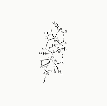 C[C@]12CC[C@@H](I)C[C@H]1CC[C@@H]1[C@@H]2CC[C@]2(C)C(=O)CC[C@@H]12